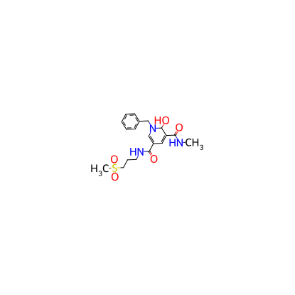 CNC(=O)C1=CC(C(=O)NCCCS(C)(=O)=O)=CN(Cc2ccccc2)C1O